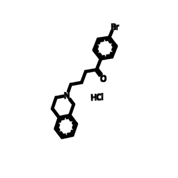 Cl.O=C(CCCN1CCc2ccccc2C1)c1ccc(Br)cc1